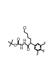 CC(C)(C)OC(=O)NNC(=O)C(CCCCCl)c1cc(F)c(F)c(F)c1